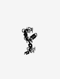 CC(C)NC(=O)N1CC(Oc2nc(-c3ccc(NC(=O)Nc4ccncc4)cc3)nc(N3CCOCC3)n2)C1